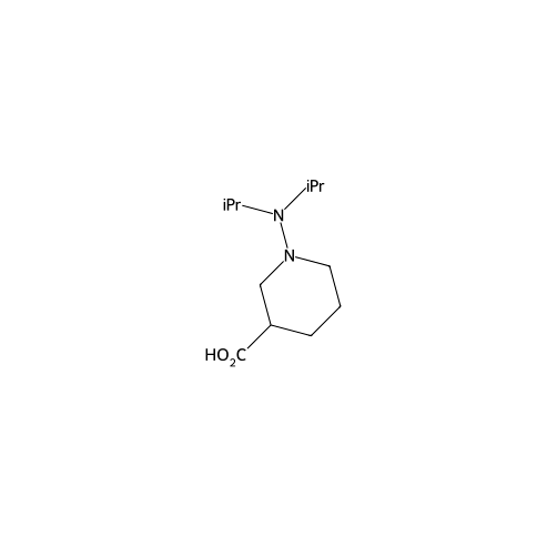 CC(C)N(C(C)C)N1CCCC(C(=O)O)C1